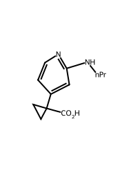 CCCNc1cc(C2(C(=O)O)CC2)ccn1